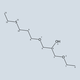 CCOCC(O)COCCCSCC